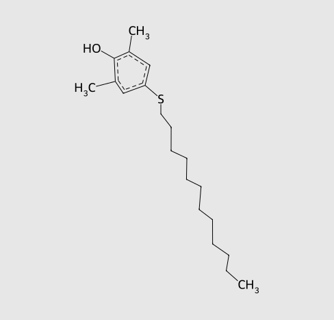 CCCCCCCCCCCCSc1cc(C)c(O)c(C)c1